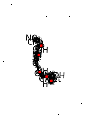 CC[C@@H]1C(O)N(C)c2cnc(Nc3ccc(C(=O)NCCCCOC4CCN(c5ncc(C(=O)N[C@H]6C(C)(C)[C@H](Oc7ccc(C#N)c(Cl)c7)C6(C)C)cn5)CC4)cc3OC)nc2N1C1CCCC1